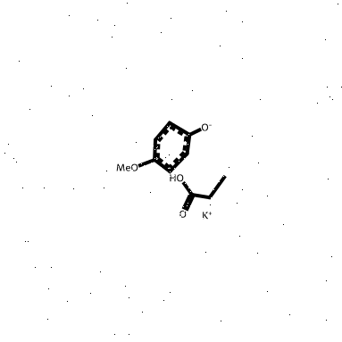 CCC(=O)O.COc1ccc([O-])cc1.[K+]